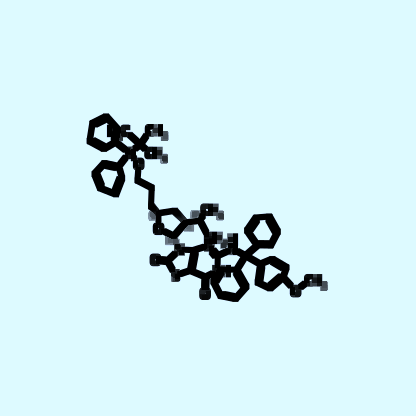 COc1ccc(C(Nc2nc3c(sc(=O)n3[C@@H]3O[C@@H](CCCO[Si](c4ccccc4)(c4ccccc4)C(C)(C)C)C[C@H]3[C@@H](C)N)c(=O)[nH]2)(c2ccccc2)c2ccccc2)cc1